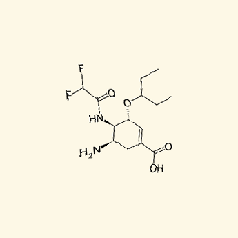 CCC(CC)O[C@@H]1C=C(C(=O)O)C[C@@H](N)[C@H]1NC(=O)C(F)F